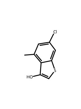 Cc1cc(Cl)cc2scc(O)c12